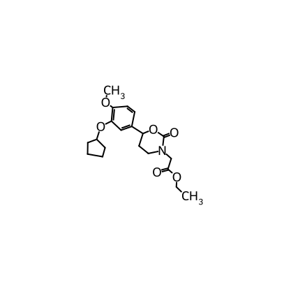 CCOC(=O)CN1CCC(c2ccc(OC)c(OC3CCCC3)c2)OC1=O